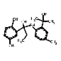 CCC(C)(Pc1ccc(C)cc1C(C)(C)O)c1cc(C)ccc1O